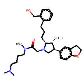 CCCCN(CCCCN(C)C)C(=O)CN1C[C@H](c2ccc3c(c2)CCO3)[C@@H](C(=O)O)[C@@H]1CCCc1ccccc1CO